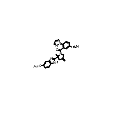 C=C1CN(C(=O)c2cc(OC)ccc2-n2nccn2)C(C)(c2nc3cc(OC)ccc3[nH]2)C1